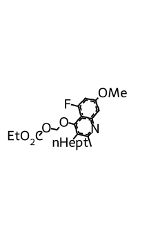 CCCCCCCc1c(C)nc2cc(OC)cc(F)c2c1OCOC(=O)OCC